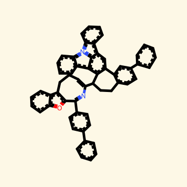 C1=C(C2CCc3ccc(-c4ccccc4)cc3-c3cc4c5ccccc5n5c6ccccc6c(c32)c45)\N=C(\c2ccc(-c3ccccc3)cc2)c2oc3ccccc3c2CC/1